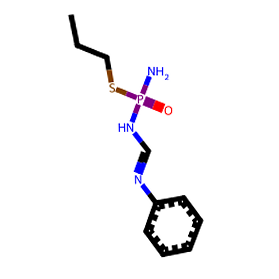 CCCSP(N)(=O)NC=Nc1ccccc1